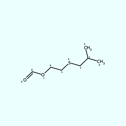 CC(C)CSCCO[C]=O